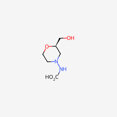 O=C(O)NN1CCO[C@@H](CO)C1